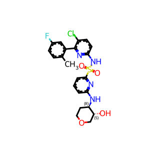 Cc1ccc(F)cc1-c1nc(NS(=O)(=O)c2cccc(N[C@@H]3CCOC[C@H]3O)n2)ccc1Cl